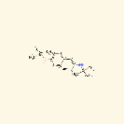 CC(C)(C)Nc1ccc2cc(OC(C)(C)C)ccc2c1